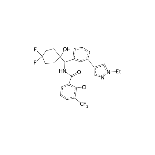 CCn1cc(-c2cccc(C(NC(=O)c3cccc(C(F)(F)F)c3Cl)C3(O)CCC(F)(F)CC3)c2)cn1